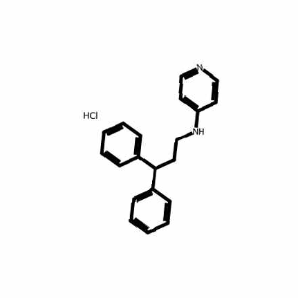 Cl.c1ccc(C(CCNc2ccncc2)c2ccccc2)cc1